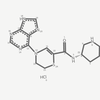 Cl.O=C(N[C@H]1CCCNC1)C1=CN(c2ncnc3[nH]cnc23)CCS1